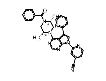 C[C@@H]1CN(c2ncnc3c2c(-c2ccccn2)cn3-c2cc(C#N)ccn2)[C@@H](C)CN1C(=O)c1ccccc1